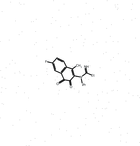 CCC(=N)N(C1=C(C)c2ccc(F)cc2C(=O)C1=O)C(C)C